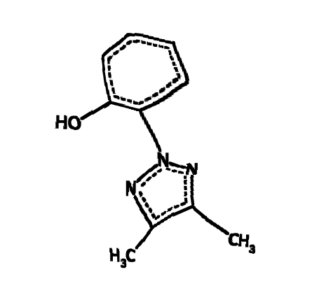 Cc1nn(-c2ccccc2O)nc1C